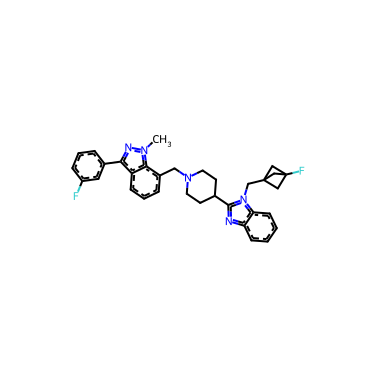 Cn1nc(-c2cccc(F)c2)c2cccc(CN3CCC(c4nc5ccccc5n4CC45CC(F)(C4)C5)CC3)c21